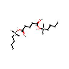 CCCC[Si](C)(C)OC(=O)CCCC(=O)O[Si](C)(C)CCCC